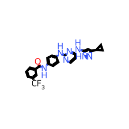 O=C(Nc1ccc(Nc2nccc(Nc3cc(C4CC4)n[nH]3)n2)cc1)c1cccc(C(F)(F)F)c1